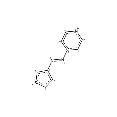 c1cc(N=Nc2ccsc2)ccn1